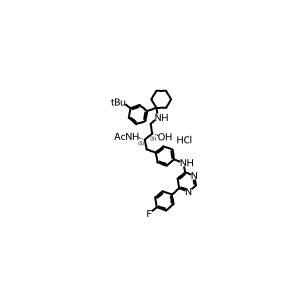 CC(=O)N[C@@H](Cc1ccc(Nc2cc(-c3ccc(F)cc3)ncn2)cc1)[C@@H](O)CNC1(c2cccc(C(C)(C)C)c2)CCCCC1.Cl